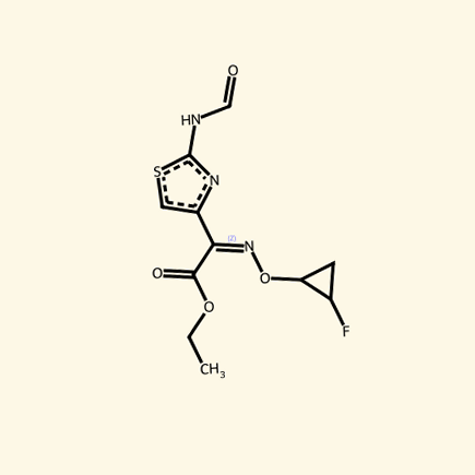 CCOC(=O)/C(=N\OC1CC1F)c1csc(NC=O)n1